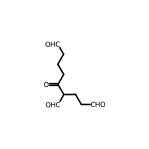 O=CCCCC(=O)C(C=O)CCC=O